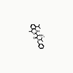 CC(C)c1cccc(C(C)C)c1NC(=O)C(N)C(=O)N(Cc1ccccc1)C(C)C